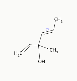 C=CC(C)(O)/C=C/C